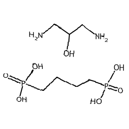 NCC(O)CN.O=P(O)(O)CCCCP(=O)(O)O